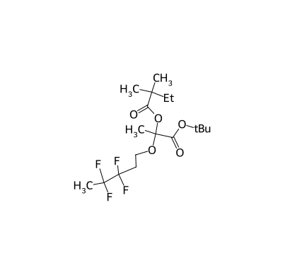 CCC(C)(C)C(=O)OC(C)(OCCC(F)(F)C(C)(F)F)C(=O)OC(C)(C)C